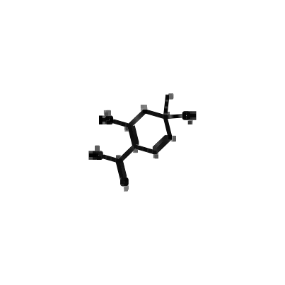 CC1(O)C=CC(C(=O)O)=C(O)C1